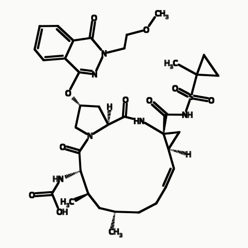 COCCn1nc(O[C@@H]2C[C@H]3C(=O)N[C@]4(C(=O)NS(=O)(=O)C5(C)CC5)C[C@H]4/C=C\CC[C@H](C)C[C@@H](C)[C@H](NC(=O)O)C(=O)N3C2)c2ccccc2c1=O